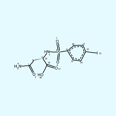 NC(=O)C[C@H](NS(=O)(=O)c1ccc(I)cc1)C(=O)O